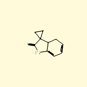 O=C1NC2=CC=CCC2C12CC2